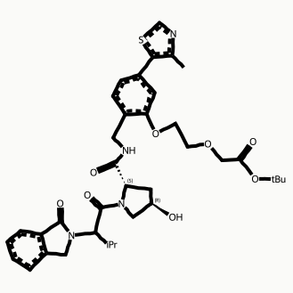 Cc1ncsc1-c1ccc(CNC(=O)[C@@H]2C[C@@H](O)CN2C(=O)C(C(C)C)N2Cc3ccccc3C2=O)c(OCCOCC(=O)OC(C)(C)C)c1